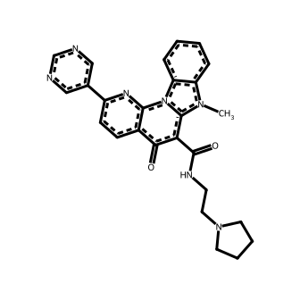 Cn1c2ccccc2n2c3nc(-c4cncnc4)ccc3c(=O)c(C(=O)NCCN3CCCC3)c12